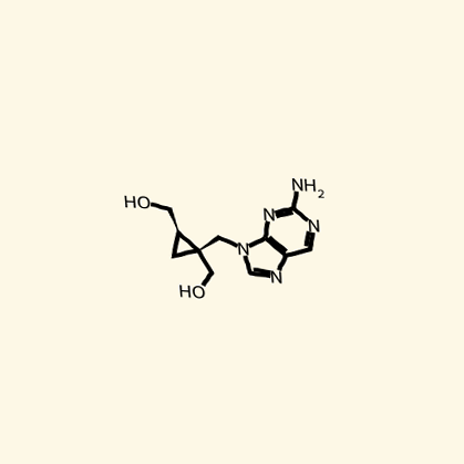 Nc1ncc2ncn(C[C@@]3(CO)C[C@H]3CO)c2n1